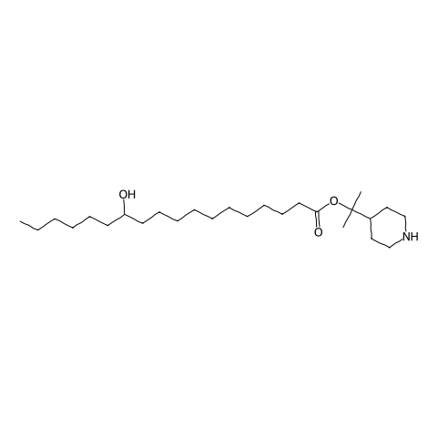 CCCCCCC(O)CCCCCCCCCCC(=O)OC(C)(C)C1CCNCC1